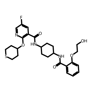 O=C(NC1CCC(NC(=O)c2cc(F)cnc2OC2CCSCC2)CC1)c1ccccc1OCCO